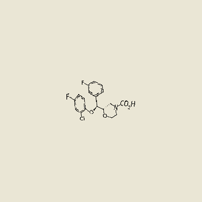 O=C(O)N1CCO[C@H]([C@@H](Oc2ccc(F)cc2Cl)c2cccc(F)c2)C1